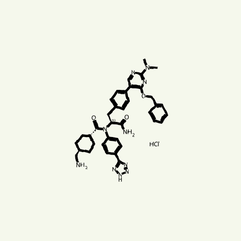 CN(C)c1ncc(-c2ccc(C[C@@H](C(N)=O)N(c3ccc(-c4nn[nH]n4)cc3)C(=O)[C@H]3CC[C@H](CN)CC3)cc2)c(OCc2ccccc2)n1.Cl